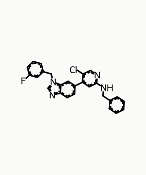 Fc1cccc(Cn2cnc3ccc(-c4cc(NCc5ccccc5)ncc4Cl)cc32)c1